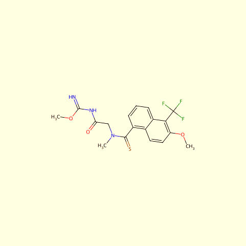 COC(=N)NC(=O)CN(C)C(=S)c1cccc2c(C(F)(F)F)c(OC)ccc12